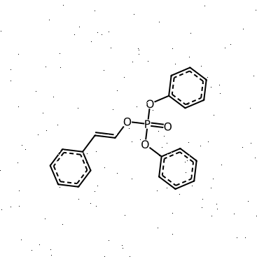 O=P(OC=Cc1ccccc1)(Oc1ccccc1)Oc1ccccc1